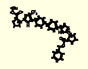 CC(C)(C)OC(=O)N1CCC[C@H]1c1nc(C(F)(F)F)c(-c2ccc(-c3ccc(-c4cnc([C@@H]5CCCN5C(=O)OCc5ccccc5)[nH]4)cc3)cc2)[nH]1